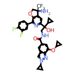 N[C@@]1(C(F)(F)F)COc2c1cc(C(O)(CNC(=O)c1cc(OC3CC3)c3nn(C4CC4)cc3c1)C1CC1)nc2-c1ccc(F)c(F)c1